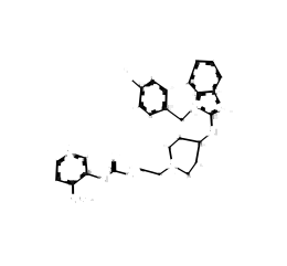 CNc1ccncc1NC(=S)NCCN1CCC(Nc2nc3ccccc3n2Cc2ccc(F)cc2)CC1